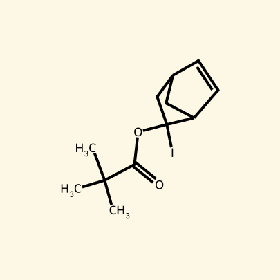 CC(C)(C)C(=O)OC1(I)CC2C=CC1C2